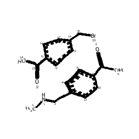 CNCc1ccc(C(=O)O)cc1.O=C(O)c1ccc(CBr)cc1